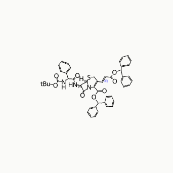 CC(C)(C)OC(=O)NC(C(=O)N[C@@H]1C(=O)N2C(C(=O)OC(c3ccccc3)c3ccccc3)=C(/C=C/C(=O)OC(c3ccccc3)c3ccccc3)CS[C@H]12)c1ccccc1